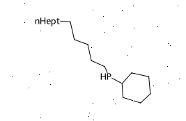 CCCCCCCCCCCCPC1CCCCC1